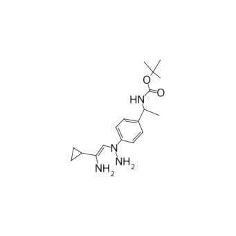 CC(NC(=O)OC(C)(C)C)c1ccc(N(N)/C=C(\N)C2CC2)cc1